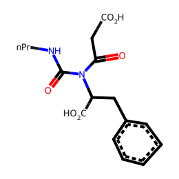 CCCNC(=O)N(C(=O)CC(=O)O)C(Cc1ccccc1)C(=O)O